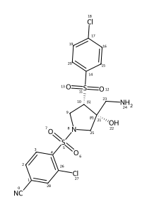 N#Cc1ccc(S(=O)(=O)N2C[C@H](S(=O)(=O)c3ccc(Cl)cc3)[C@@](O)(CN)C2)c(Cl)c1